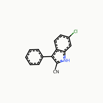 N#Cc1[nH]c2cc(Cl)ccc2c1-c1ccccc1